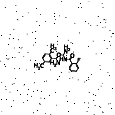 Cc1ccc(C)c(C(N)OC(N)NC(=O)c2ccccc2F)c1